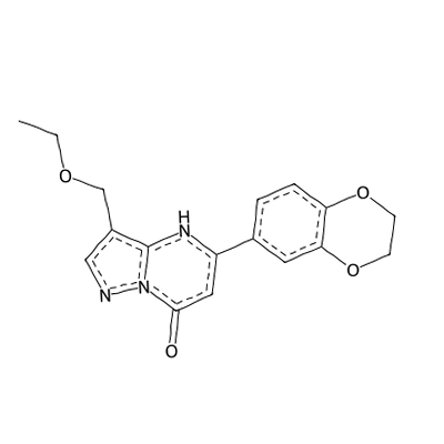 CCOCc1cnn2c(=O)cc(-c3ccc4c(c3)OCCO4)[nH]c12